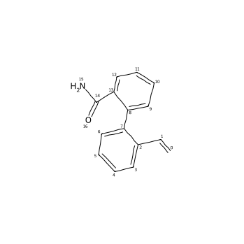 C=Cc1ccccc1-c1ccccc1C(N)=O